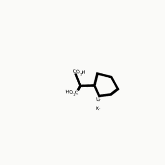 O=C(O)C(C(=O)O)C1CCCCC1.[K].[Li]